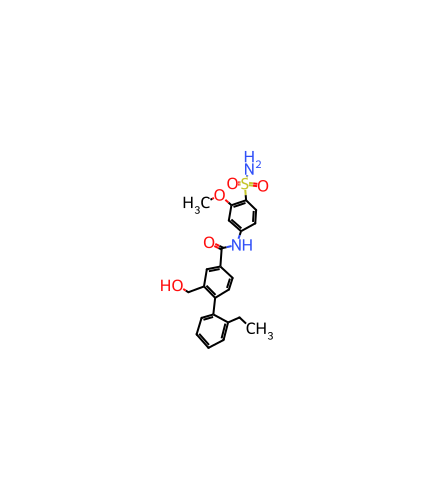 CCc1ccccc1-c1ccc(C(=O)Nc2ccc(S(N)(=O)=O)c(OC)c2)cc1CO